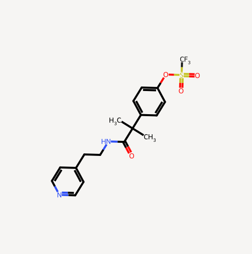 CC(C)(C(=O)NCCc1ccncc1)c1ccc(OS(=O)(=O)C(F)(F)F)cc1